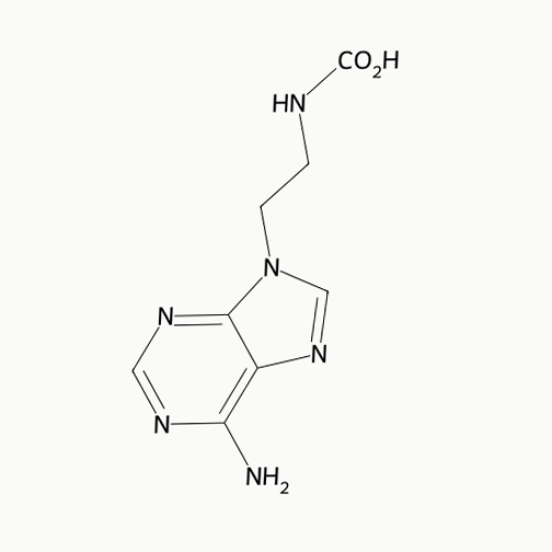 Nc1ncnc2c1ncn2CCNC(=O)O